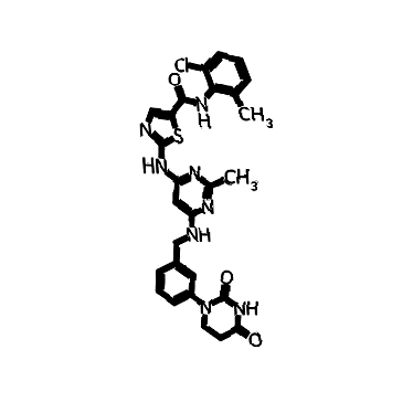 Cc1nc(NCc2cccc(N3CCC(=O)NC3=O)c2)cc(Nc2ncc(C(=O)Nc3c(C)cccc3Cl)s2)n1